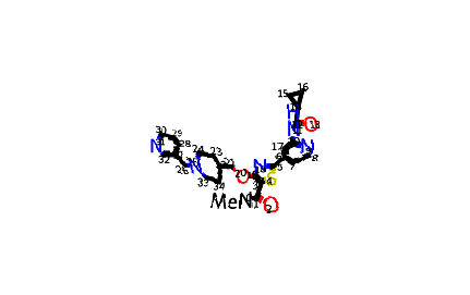 CNC(=O)c1sc(-c2ccnc(NC(=O)C3CC3)c2)nc1OCC1CCN(Cc2cccnc2)CC1